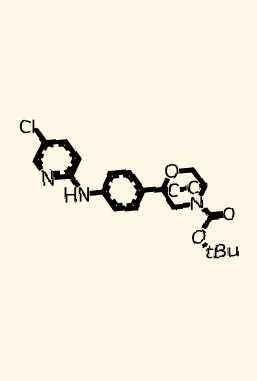 CC(C)(C)OC(=O)N1CC2(c3ccc(Nc4ccc(Cl)cn4)cc3)CCC1CO2